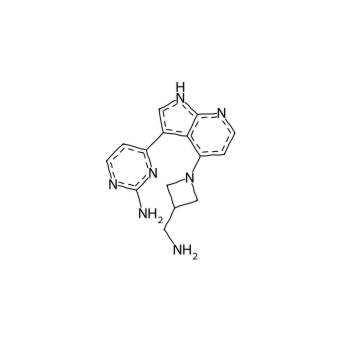 NCC1CN(c2ccnc3[nH]cc(-c4ccnc(N)n4)c23)C1